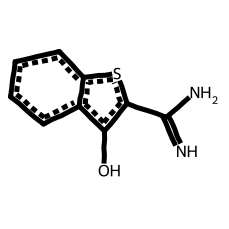 N=C(N)c1sc2ccccc2c1O